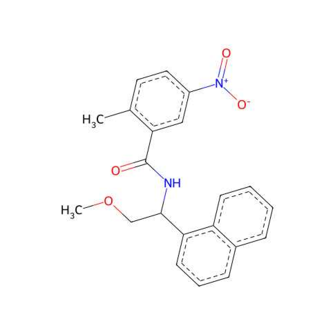 COCC(NC(=O)c1cc([N+](=O)[O-])ccc1C)c1cccc2ccccc12